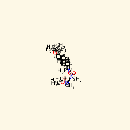 C/C(=N\OC(=O)N(C)CCN(C)C(=O)OC(C)(C)C)[C@H]1CC[C@H]2[C@@H]3CCC4C[C@@H](O[Si](C)(C)C(C)(C)C)CC[C@]4(C)[C@H]3CC[C@]12C